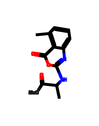 COC(=O)C(C)Nc1nc2cccc(C)c2c(=O)o1